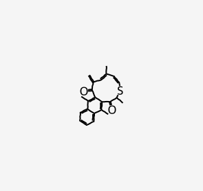 C=C1/C=C(C)/C=C\SC(C)C(=O)c2c(c(C)c3ccccc3c2C)C1=O